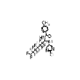 Cc1ccc(C(=O)NC(Nc2cnc(Cl)nc2)C(F)(F)C(F)(F)C(F)(F)C(F)(F)C(F)(F)C(F)F)nc1